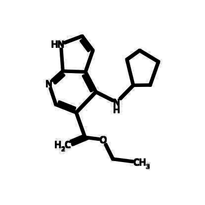 C=C(OCC)c1cnc2[nH]ccc2c1NC1CCCC1